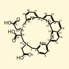 O=C(O)CN1Cc2cccc(n2)-c2ccc3ccc4ccc(nc4c3n2)-c2cccc(n2)CN(CC(=O)O)C(C(=O)O)C1